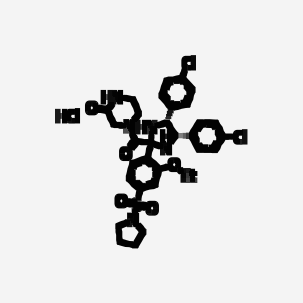 CCOc1cc(S(=O)(=O)N2CCCC2)ccc1C1(C(=O)N2CCNC(=O)C2)N[C@H](c2ccc(Cl)cc2)[C@H](c2ccc(Cl)cc2)N1.Cl